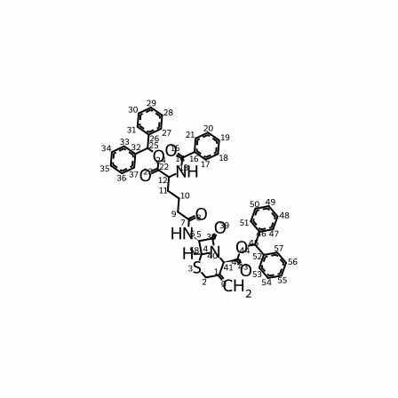 C=C1CS[C@@H]2[C@H](NC(=O)CCCC(NC(=O)c3ccccc3)C(=O)OC(c3ccccc3)c3ccccc3)C(=O)N2[C@H]1C(=O)OC(c1ccccc1)c1ccccc1